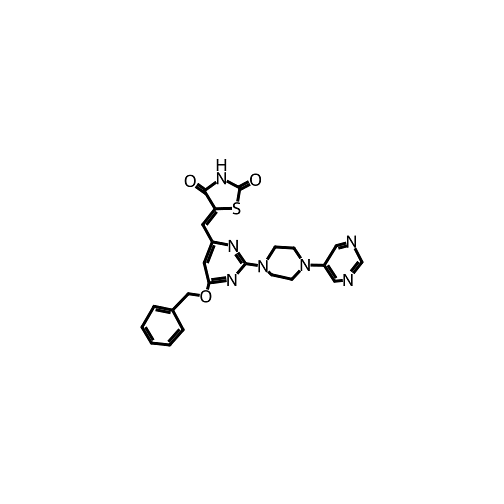 O=C1NC(=O)C(=Cc2cc(OCc3ccccc3)nc(N3CCN(c4cncnc4)CC3)n2)S1